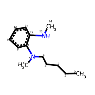 CCCCCN(C)c1ccccc1NC